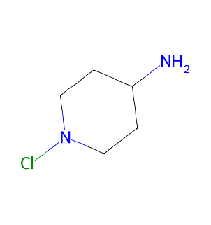 NC1CCN(Cl)CC1